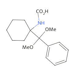 COC(OC)(c1ccccc1)C1(NC(=O)O)CCCCC1